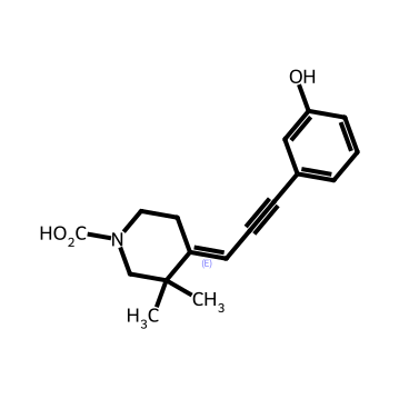 CC1(C)CN(C(=O)O)CC/C1=C\C#Cc1cccc(O)c1